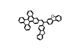 C(=C(/c1ccc2c(c1)Cc1ccccc1-2)c1ccc2c(c1)oc1ccccc12)/c1ccc2c(c1)c1ccccc1c1c3ccccc3c3ccccc3c21